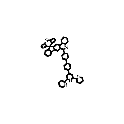 c1ccc(-c2cc(-c3ccc(-c4ccc(-c5nc6ccccc6c6cc7c(cc56)-c5ccccc5C75c6ccccc6Sc6ccccc65)cc4)cc3)cc(-c3ccccn3)n2)nc1